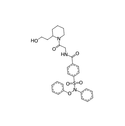 O=C(NCC(=O)N1CCCCC1CCO)c1ccc(S(=O)(=O)N(Oc2ccccc2)c2ccccc2)cc1